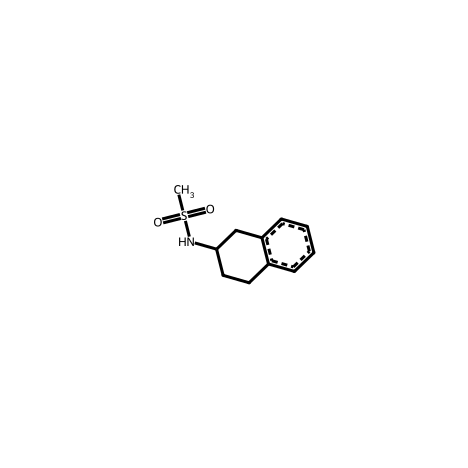 CS(=O)(=O)NC1CCc2ccccc2C1